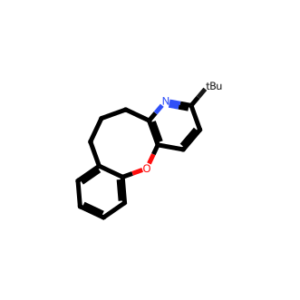 CC(C)(C)c1ccc2c(n1)CCCc1ccccc1O2